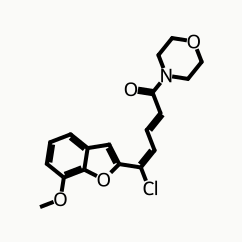 COc1cccc2cc(/C(Cl)=C\C=C\C(=O)N3CCOCC3)oc12